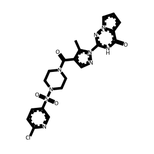 Cc1c(C(=O)N2CCN(S(=O)(=O)c3ccc(Cl)nc3)CC2)cnn1-c1nn2cccc2c(=O)[nH]1